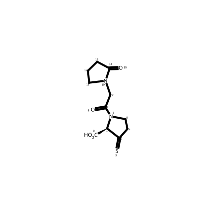 O=C(O)[C@@H]1C(=S)CCN1C(=O)CN1CCCC1=O